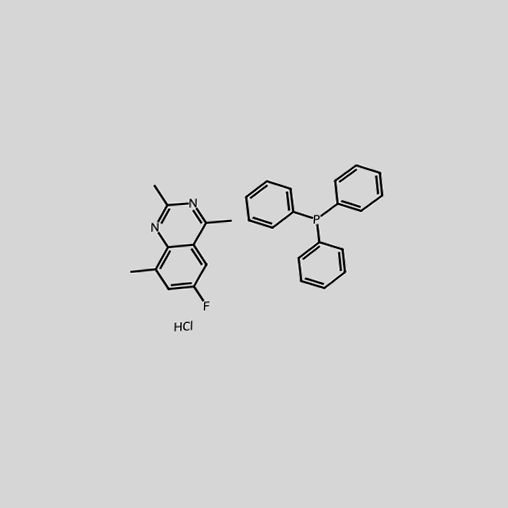 Cc1nc(C)c2cc(F)cc(C)c2n1.Cl.c1ccc(P(c2ccccc2)c2ccccc2)cc1